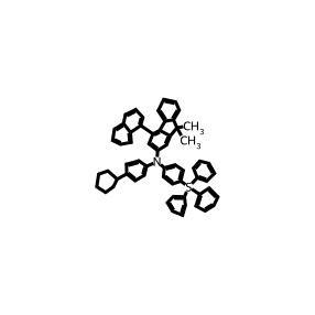 CC1(C)c2ccccc2-c2c(-c3cccc4ccccc34)cc(N(c3ccc(C4CCCCC4)cc3)c3ccc(S(c4ccccc4)(c4ccccc4)c4ccccc4)cc3)cc21